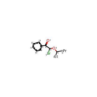 CCCC(CC)OC(Br)C(=O)c1ccccc1